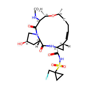 C[C@@H]1CCC=C[C@@H]2C[C@@]2(C(=O)NS(=O)(=O)C2(CF)CC2)NC(=O)[C@@H]2C[C@@H](O)CN2C(=O)[C@@H](NC(=O)O)[C@H](C)O1